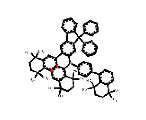 CC1(C)CCC(C)(C)c2cc(-c3cc4c(cc3N(c3ccc(-c5cccc6c5C(C)(C)CCC6(C)C)cc3)c3cccc5c3C(C)(C)CCC5(C)C)C(c3ccccc3)(c3ccccc3)c3ccccc3-4)ccc21